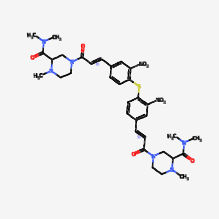 CN(C)C(=O)C1CN(C(=O)/C=C/c2ccc(Sc3ccc(/C=C/C(=O)N4CCN(C)C(C(=O)N(C)C)C4)cc3[N+](=O)[O-])c([N+](=O)[O-])c2)CCN1C